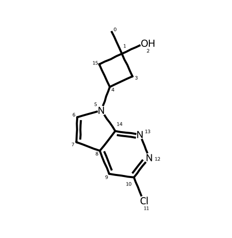 CC1(O)CC(n2ccc3cc(Cl)nnc32)C1